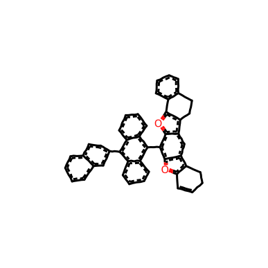 C1=Cc2oc3c(-c4c5ccccc5c(-c5ccc6ccccc6c5)c5ccccc45)c4oc5c(c4cc3c2CC1)CCc1ccccc1-5